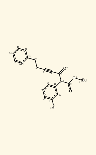 CC(C)(C)OC(=O)N(C(=O)C#CCCc1ccccn1)c1cccc(F)c1